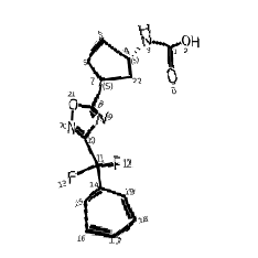 O=C(O)N[C@H]1CC[C@H](c2nc(C(F)(F)c3ccccc3)no2)C1